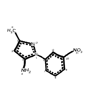 Cc1cc(N)n(-c2cccc([N+](=O)[O-])c2)n1